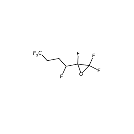 FC(CCC(F)(F)F)C1(F)OC1(F)F